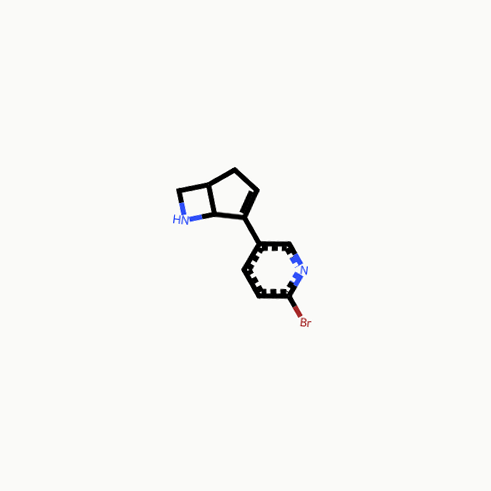 Brc1ccc(C2=CCC3CNC23)cn1